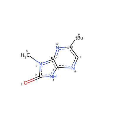 Cn1c(=O)[nH]c2ncc(C(C)(C)C)nc21